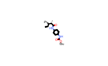 C=CC(C(C)C)[C@H](C)C(=O)Nc1ccc(NC(=O)OC(C)(C)C)cc1